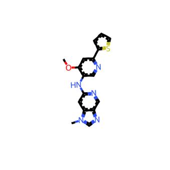 COc1cc(-c2cccs2)ncc1Nc1cc2c(cn1)ncn2C